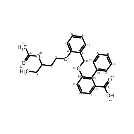 CCC(CCOc1ccccc1COc1cccc(C(=O)O)c1-c1ccccc1)OC(C)=O